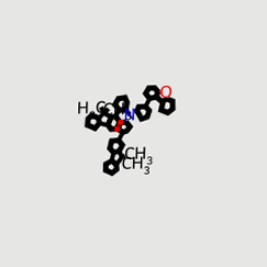 CC1(C)c2ccccc2-c2ccc(-c3ccc(N(c4cccc(-c5cccc6oc7ccccc7c56)c4)c4ccccc4-c4cccc5c4C(C)(C)c4ccccc4-5)cc3)cc21